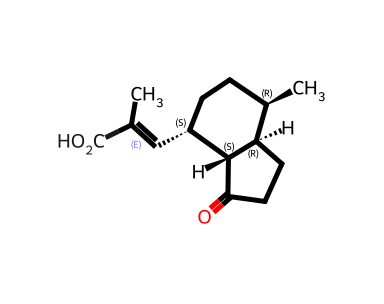 C/C(=C\[C@@H]1CC[C@@H](C)[C@H]2CCC(=O)[C@@H]21)C(=O)O